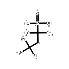 CCC(N)(CC(C)(C)P(=O)(O)O)C(C)C